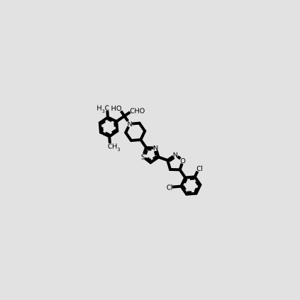 Cc1ccc(C)c(C(O)(C=O)N2CCC(c3nc(C4=NOC(c5c(Cl)cccc5Cl)C4)cs3)CC2)c1